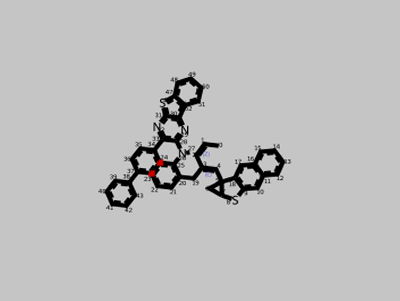 C/C=C\C(=C\C12CC1Sc1cc3ccccc3cc12)Cc1ccccc1N(C)c1nc2c(nc1-c1ccc(-c3ccccc3)cc1)sc1ccccc12